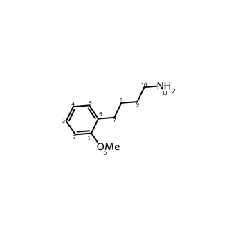 COc1ccccc1CCCCN